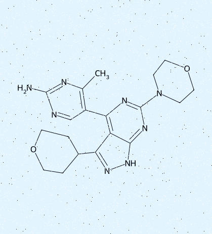 Cc1nc(N)ncc1-c1nc(N2CCOCC2)nc2[nH]nc(C3CCOCC3)c12